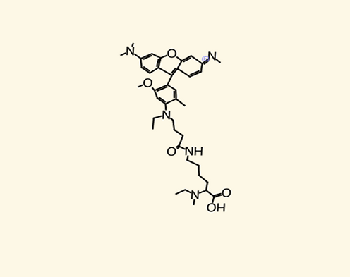 CCN(CCCC(=O)NCCCCC(C(=O)O)N(C)CC)c1cc(OC)c(-c2c3cc/c(=N\C)cc-3oc3cc(N(C)C)ccc23)cc1C